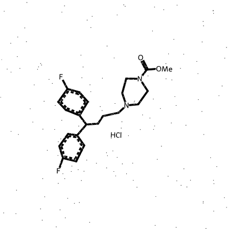 COC(=O)N1CCN(CCCC(c2ccc(F)cc2)c2ccc(F)cc2)CC1.Cl